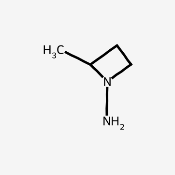 CC1CCN1N